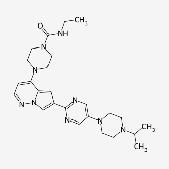 CCNC(=O)N1CCN(c2ccnn3cc(-c4ncc(N5CCN(C(C)C)CC5)cn4)cc23)CC1